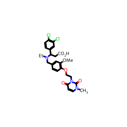 CCN(Cc1ccc(OCCn2c(=O)ccn(C)c2=O)c(OC)c1)C(CC(=O)O)c1ccc(Cl)c(Cl)c1